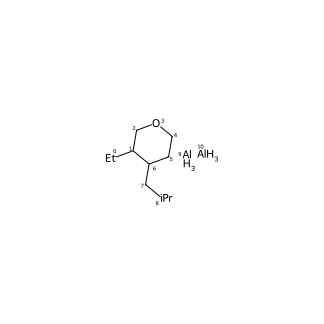 CCC1COCCC1CC(C)C.[AlH3].[AlH3]